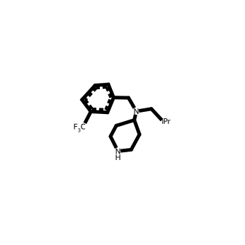 CC(C)CN(Cc1cccc(C(F)(F)F)c1)C1CCNCC1